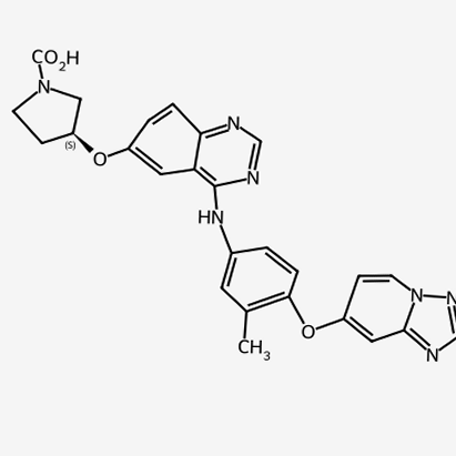 Cc1cc(Nc2ncnc3ccc(O[C@H]4CCN(C(=O)O)C4)cc23)ccc1Oc1ccn2ncnc2c1